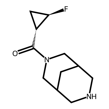 O=C([C@@H]1C[C@H]1F)N1CC2CNCC(C2)C1